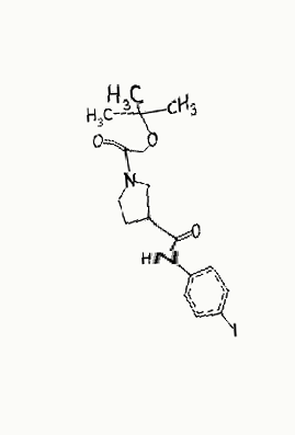 CC(C)(C)OC(=O)N1CCC(C(=O)Nc2ccc(I)cc2)C1